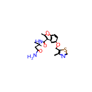 Cc1ncsc1COc1ccc2oc(C)c(C(=O)NC(C)(C)CC(N)=O)c2c1